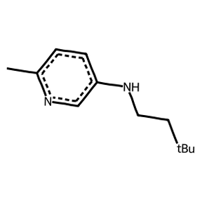 Cc1ccc(NCCC(C)(C)C)cn1